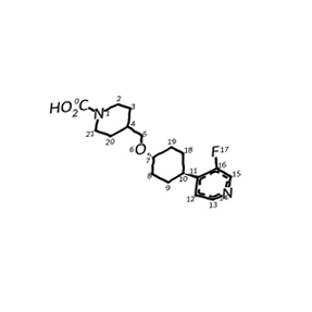 O=C(O)N1CCC(CO[C@H]2CC[C@H](c3ccncc3F)CC2)CC1